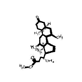 COC(=O)CC[C@@H](C)C1CCC2C3C(C)C[C@@H]4CC(=O)CC[C@]4(C)C3CC(C)[C@@]21C